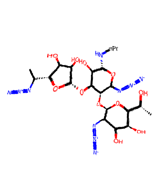 CCCN[C@@H]1OC(N=[N+]=[N-])[C@@H](O[C@H]2OC([C@@H](C)O)[C@@H](O)C(O)C2N=[N+]=[N-])C(O[C@@H]2O[C@H](C(C)N=[N+]=[N-])C(O)C2O)C1O